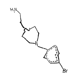 NCCN1CCN(c2ccc(Br)cc2)CC1